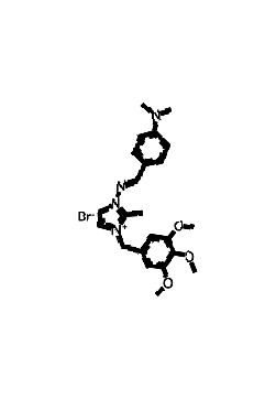 COc1cc(C[n+]2ccn(N=Cc3ccc(N(C)C)cc3)c2C)cc(OC)c1OC.[Br-]